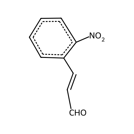 O=CC=Cc1ccccc1[N+](=O)[O-]